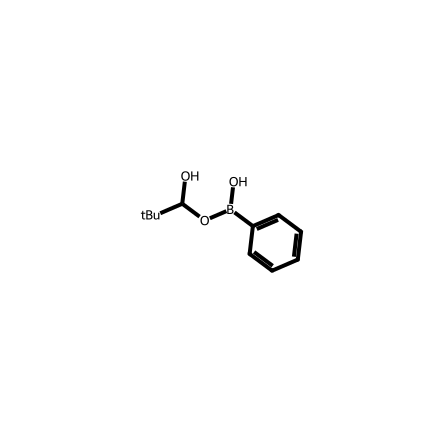 CC(C)(C)C(O)OB(O)c1ccccc1